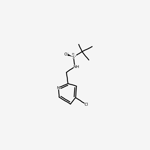 CC(C)(C)[S@+]([O-])NCc1cc(Cl)ccn1